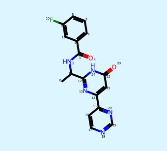 CC(NC(=O)c1cccc(F)c1)c1nc(-c2ccncn2)cc(=O)[nH]1